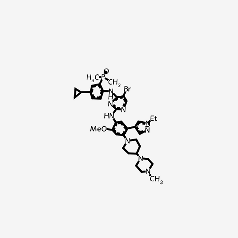 CCn1cc(-c2cc(Nc3ncc(Br)c(Nc4ccc(C5CC5)cc4P(C)(C)=O)n3)c(OC)cc2N2CCC(N3CCN(C)CC3)CC2)cn1